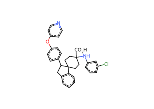 O=C(O)C1(Nc2cccc(Cl)c2)CCC2(CC1)c1ccccc1CC2c1ccc(Oc2ccncc2)cc1